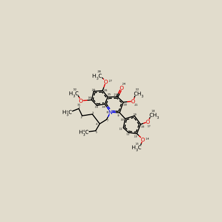 CCCCC(CC)Cn1c(-c2ccc(OC)c(OC)c2)c(OC)c(=O)c2c(OC)cc(OC)cc21